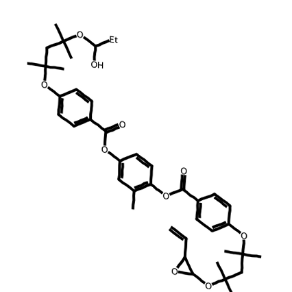 C=CC1OC1OC(C)(C)CC(C)(C)Oc1ccc(C(=O)Oc2ccc(OC(=O)c3ccc(OC(C)(C)CC(C)(C)OC(O)CC)cc3)cc2C)cc1